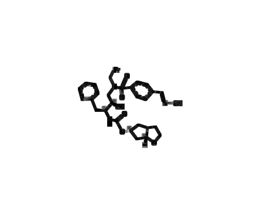 CC(C)CN(C[C@@H](O)[C@H](Cc1ccccc1)NC(=O)O[C@@H]1CC2CCO[C@@H]2C1)S(=O)(=O)c1ccc(C=NO)cc1